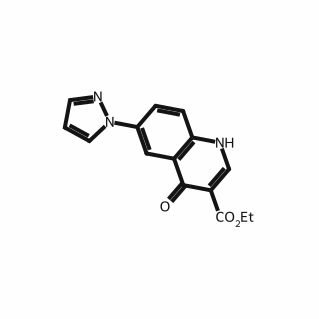 CCOC(=O)c1c[nH]c2ccc(-n3cccn3)cc2c1=O